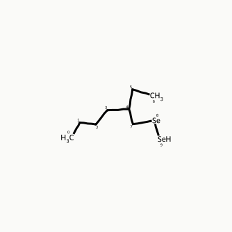 CCCCC(CC)C[Se][SeH]